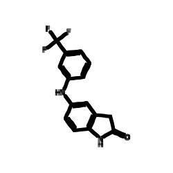 O=C1Cc2cc(Nc3cccc(C(F)(F)F)c3)ccc2N1